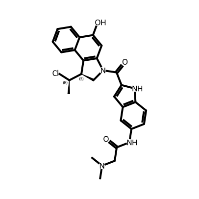 C[C@@H](Cl)[C@@H]1CN(C(=O)c2cc3cc(NC(=O)CN(C)C)ccc3[nH]2)c2cc(O)c3ccccc3c21